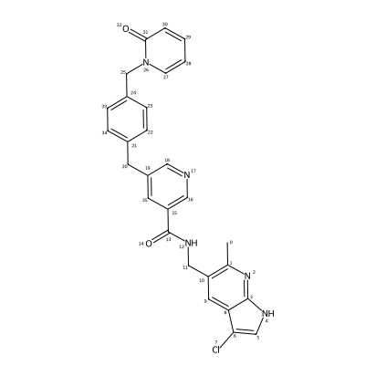 Cc1nc2[nH]cc(Cl)c2cc1CNC(=O)c1cncc(Cc2ccc(Cn3ccccc3=O)cc2)c1